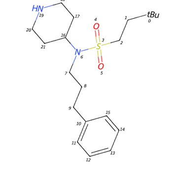 CC(C)(C)CCS(=O)(=O)N(CCCc1ccccc1)C1CCNCC1